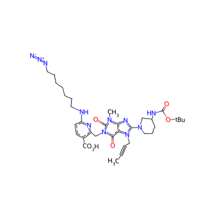 CC#CCn1c(N2CCCC(NC(=O)OC(C)(C)C)C2)nc2c1c(=O)n(Cc1nc(NCCCCCCCN=[N+]=[N-])ccc1C(=O)O)c(=O)n2C